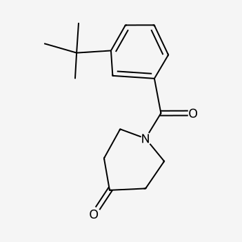 CC(C)(C)c1cccc(C(=O)N2CCC(=O)CC2)c1